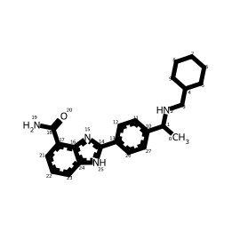 CC(NCC1CCCCC1)c1ccc(-c2nc3c(C(N)=O)cccc3[nH]2)cc1